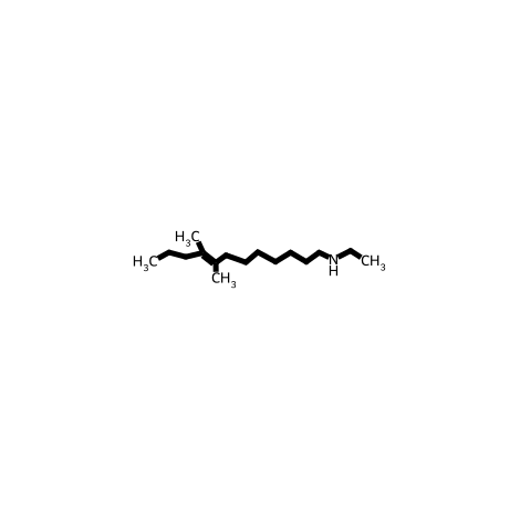 CCC/C(C)=C(\C)CCCCCCCNCC